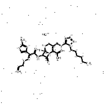 C=CCON=C(C(=O)NC1C(=O)N2C(C(=O)O)=C(CSc3nnnn3CCCCCC)CS[C@@H]12)c1csc(N)n1.Cl